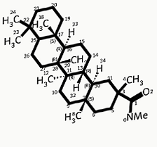 CNC(=O)C1(C)CC[C@]2(C)CC[C@]3(C)[C@H](CC[C@@H]4[C@@]5(C)CCCC(C)(C)C5CC[C@]43C)[C@H]2C1